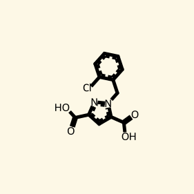 O=C(O)c1cc(C(=O)O)n(Cc2ccccc2Cl)n1